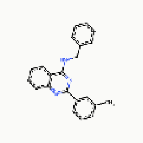 Cc1cccc(-c2nc(NCc3ccccc3)c3ccccc3n2)c1